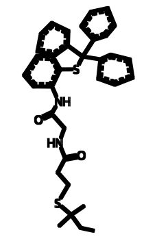 CCC(C)(C)SCCC(=O)NCC(=O)Nc1ccccc1SC(c1ccccc1)(c1ccccc1)c1ccccc1